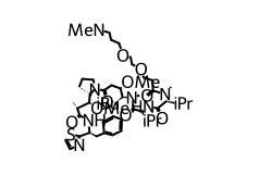 CC[C@H](C)[C@@H]([C@@H](CC(=O)N1CCC[C@H]1[C@H](OC)[C@@H](C)C(=O)N[C@@H](Cc1ccccc1)c1nccs1)OC)N(C)C(=O)[C@@H](NC(=O)[C@H](C(C)C)N(C)C(=O)CCOCCOCCCNC)C(C)C